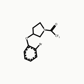 O=C(N1CCC(Oc2ccccc2Br)C1)C(F)(F)F